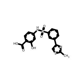 Cc1nc(-c2cccc(S(=O)(=O)Nc3ccc(C(=O)O)c(O)c3)c2)cs1